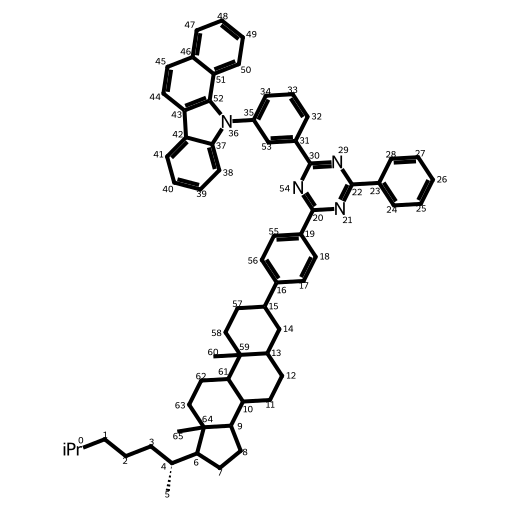 CC(C)CCC[C@@H](C)C1CCC2C3CCC4CC(c5ccc(-c6nc(-c7ccccc7)nc(-c7cccc(-n8c9ccccc9c9ccc%10ccccc%10c98)c7)n6)cc5)CCC4(C)C3CCC21C